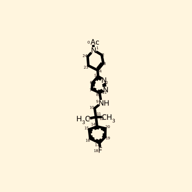 CC(=O)N1CC=C(c2ccc(NCC(C)(C)c3ccc(F)cc3)nn2)CC1